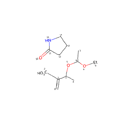 C=C(C(=O)O)C(C)OC(C)OCC.O=C1CCCN1